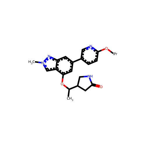 CC(C)Oc1ccc(-c2cc(OC(C)C3CNC(=O)C3)c3cn(C)nc3c2)cn1